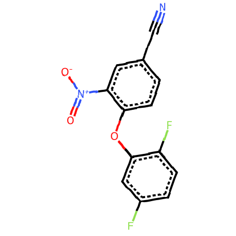 N#Cc1ccc(Oc2cc(F)ccc2F)c([N+](=O)[O-])c1